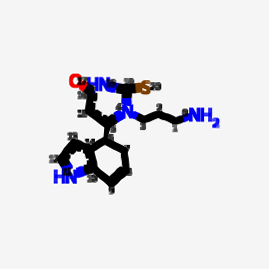 NCCCn1c([C@H]2CC=Cc3[nH]ccc32)cc(=O)[nH]c1=S